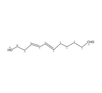 O=CCCCCC=CC=CCCO